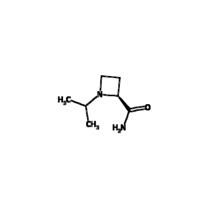 CC(C)N1CC[C@H]1C(N)=O